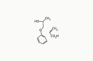 C=CC(=O)O.CC(O)COc1ccccc1